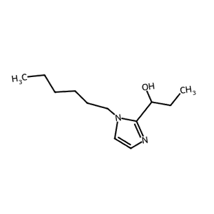 CCCCCCn1ccnc1C(O)CC